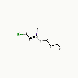 CCCCC/C(I)=C/CBr